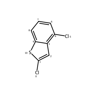 Clc1cc2c(Cl)cccc2s1